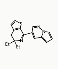 CCC1(CC)Cc2ccsc2C(c2cnn3cccc3c2)=N1